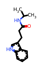 CC(C)NC(=O)CCc1c[nH]c2ccccc12